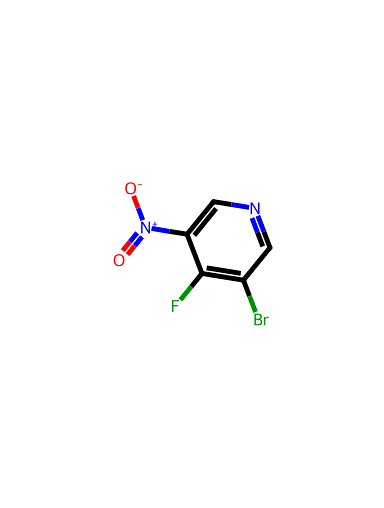 O=[N+]([O-])c1cncc(Br)c1F